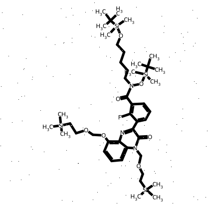 CC(C)(C)[Si](C)(C)OCCCCCN(O[Si](C)(C)C(C)(C)C)C(=O)c1cccc(-c2nc3c(OCOCC[Si](C)(C)C)cccc3n(COCC[Si](C)(C)C)c2=O)c1F